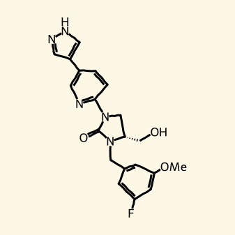 COc1cc(F)cc(CN2C(=O)N(c3ccc(-c4cn[nH]c4)cn3)C[C@@H]2CO)c1